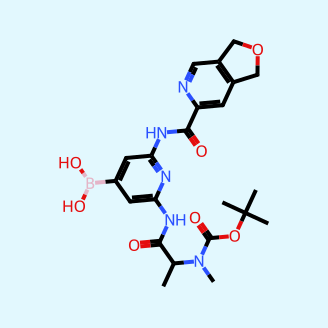 CC(C(=O)Nc1cc(B(O)O)cc(NC(=O)c2cc3c(cn2)COC3)n1)N(C)C(=O)OC(C)(C)C